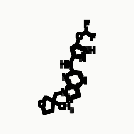 CC1(Cn2ncc3ncc(Nc4cc(OC(F)F)[nH]n4)nc32)CCOC1